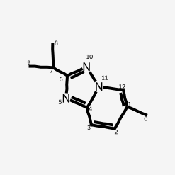 Cc1ccc2nc(C(C)C)nn2c1